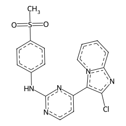 CS(=O)(=O)c1ccc(Nc2nccc(-c3c(Cl)nc4ccccn34)n2)cc1